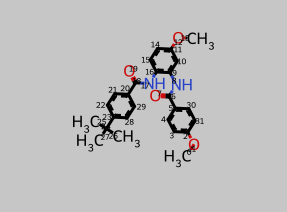 COc1ccc(C(=O)Nc2cc(OC)ccc2NC(=O)c2ccc(C(C)(C)C)cc2)cc1